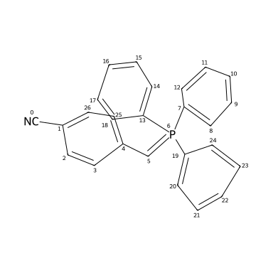 N#Cc1ccc(C=P(c2ccccc2)(c2ccccc2)c2ccccc2)cc1